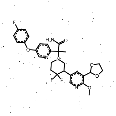 COc1ncc(C2CN(C(C)(C(N)=O)c3ccc(Oc4ccc(F)cc4)cn3)CCC2(F)F)cc1C1OCCO1